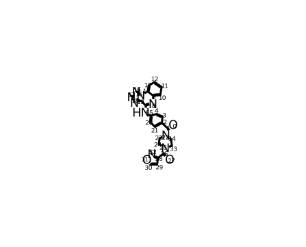 O=C(c1ccc(Nc2nc3ccccc3n3nnnc23)cc1)N1CCN(C(=O)c2ccon2)CC1